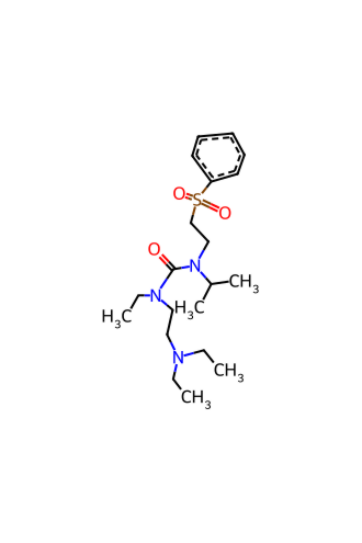 CCN(CC)CCN(CC)C(=O)N(CCS(=O)(=O)c1ccccc1)C(C)C